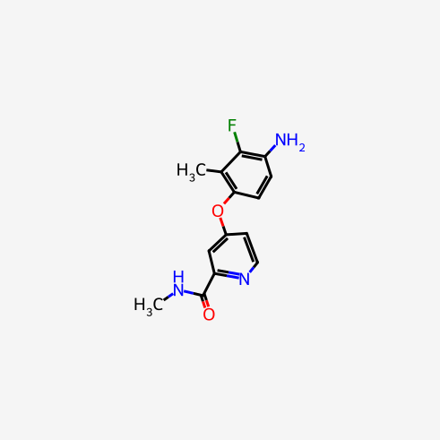 CNC(=O)c1cc(Oc2ccc(N)c(F)c2C)ccn1